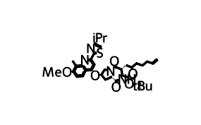 C=CCCCCC[C@H](CC(=O)OC(C)(C)C)C(=O)N1C[C@H](Oc2cc(-c3nc(C(C)C)cs3)nc3c(C)c(OC)ccc23)C[C@H]1C(N)=O